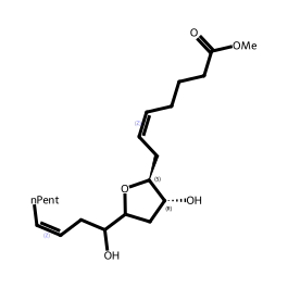 CCCCC/C=C\CC(O)C1C[C@@H](O)[C@H](C/C=C\CCCC(=O)OC)O1